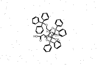 CC(C)(C)[Si](O[C@H](COC(c1ccccc1)(c1ccccc1)c1ccccc1)C[C@H](CC(=O)O)O[Si](c1ccccc1)(c1ccccc1)C(C)(C)C)(c1ccccc1)c1ccccc1